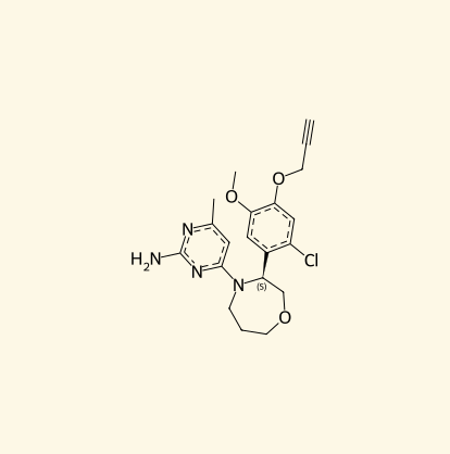 C#CCOc1cc(Cl)c([C@H]2COCCCN2c2cc(C)nc(N)n2)cc1OC